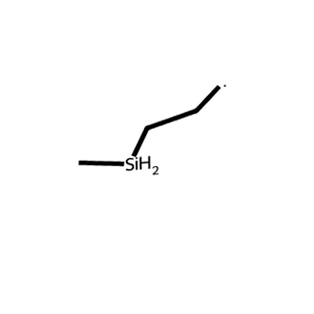 [CH2]CC[SiH2]C